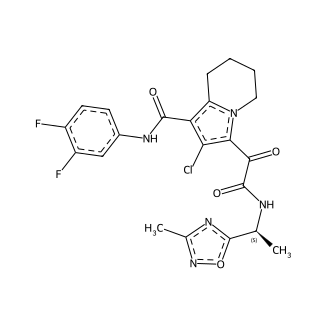 Cc1noc([C@H](C)NC(=O)C(=O)c2c(Cl)c(C(=O)Nc3ccc(F)c(F)c3)c3n2CCCC3)n1